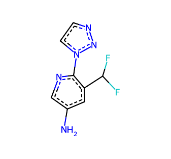 Nc1cnc(-n2ccnn2)c(C(F)F)c1